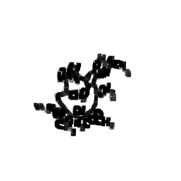 CO[C@H]1C[C@H](C)CC2=C(NCCN(C)C)C(=O)C=C(NC(=O)/C(C)=C/CC[C@H](OC)[C@@H](OC(C)=O)/C(C)=C/[C@H](C)C1=O)C2=O